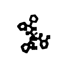 C[C@@](Cc1c[nH]c2ccccc12)(NC(=O)c1ccccc1Cl)C(=O)NC(c1ccccn1)C1CCCCC1